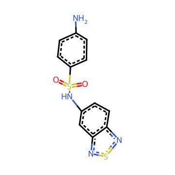 Nc1ccc(S(=O)(=O)Nc2ccc3nsnc3c2)cc1